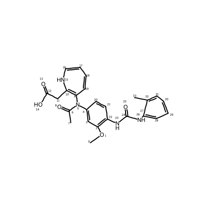 COc1cc(N(C(C)=O)C2=C(CC(=O)O)NC=CC=C2)ccc1NC(=O)Nc1ccccc1C